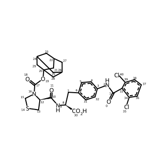 O=C(Nc1ccc(C[C@H](NC(=O)[C@H]2CSCN2C(=O)OC23CC4CC(CC(C4)C2)C3)C(=O)O)cc1)c1c(Cl)cccc1Cl